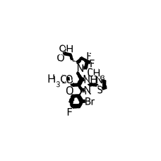 COC(=O)C1=C(CN2C(C)C(F)(F)C[C@H]2CCC(=O)O)NC(c2nccs2)=N[C@H]1c1ccc(F)cc1Br